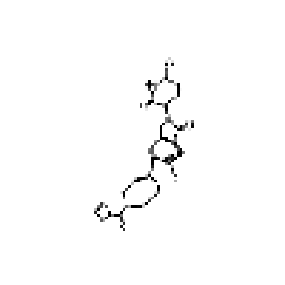 O=C1CCC(N2Cc3cc(C4CCN(C(=O)C5CCC5)CC4)c(F)cc3C2=O)C(=O)N1